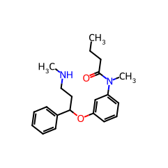 CCCC(=O)N(C)c1cccc(OC(CCNC)c2ccccc2)c1